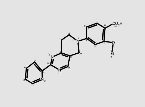 CCOc1cc(N2CCc3nc(-c4ccccn4)ncc3C2)ccc1C(=O)O